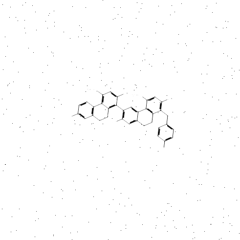 COc1cc(O)c(Cc2ccc(O)cc2)c2c1-c1cc(-c3c(O)cc(OC)c4c3CCc3cc(O)ccc3-4)c(O)cc1CC2